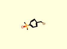 CP(C)(=O)c1ccc(CBr)cc1